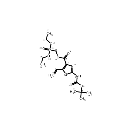 C=Cc1sc(NC(=O)OC(C)(C)C)nc1C(=O)OCP(=O)(OCC)OCC